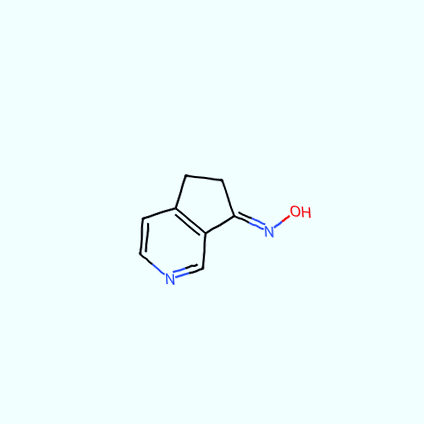 ON=C1CCc2ccncc21